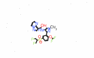 Cn1cc(NC(O)c2cnn3cccnc23)c(-c2cc(S(=O)(=O)C(CF)CF)ccc2OC(F)F)n1